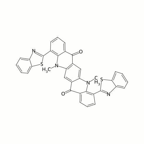 Cn1c2cc3c(=O)c4cccc(-c5nc6ccccc6s5)c4n(C)c3cc2c(=O)c2cccc(-c3nc4ccccc4s3)c21